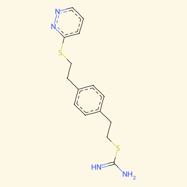 N=C(N)SCCc1ccc(CCSc2cccnn2)cc1